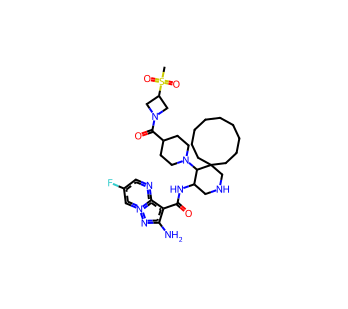 CS(=O)(=O)C1CN(C(=O)C2CCN(C3C(NC(=O)c4c(N)nn5cc(F)cnc45)CNCC34CCCCCCCCC4)CC2)C1